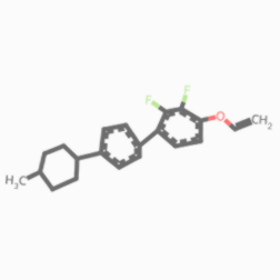 C=COc1ccc(-c2ccc(C3CCC(C)CC3)cc2)c(F)c1F